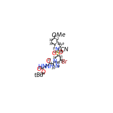 COc1ccc(CN(C2(C#N)CC2)S(=O)(=O)c2cc(Br)c3ncc(C(=O)NNC(=O)OC(C)(C)C)n3c2)cc1